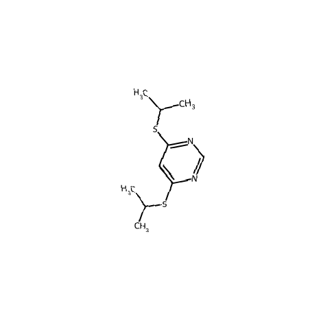 CC(C)Sc1cc(SC(C)C)ncn1